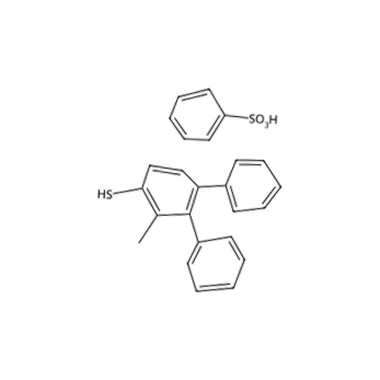 Cc1c(S)ccc(-c2ccccc2)c1-c1ccccc1.O=S(=O)(O)c1ccccc1